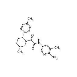 Cc1ccc([C@H]2CC[C@@H](C)CN2C(=O)C(=O)Nc2cnc(N)c(C)c2)nc1